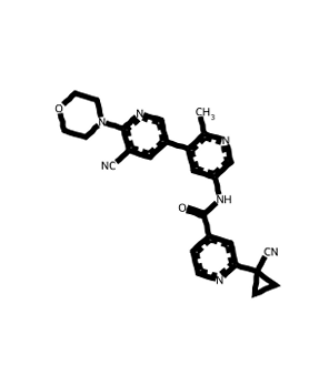 Cc1ncc(NC(=O)c2ccnc(C3(C#N)CC3)c2)cc1-c1cnc(N2CCOCC2)c(C#N)c1